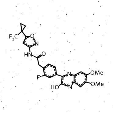 COc1cc2nc(O)c(-c3ccc(CC(=O)Nc4cc(C5(C(F)(F)F)CC5)on4)c(F)c3)nc2cc1OC